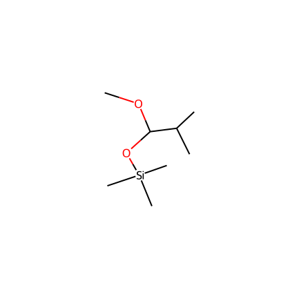 COC(O[Si](C)(C)C)C(C)C